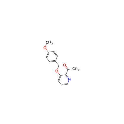 COc1ccc(COc2cccnc2C(C)=O)cc1